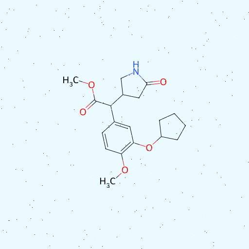 COC(=O)C(c1ccc(OC)c(OC2CCCC2)c1)C1CNC(=O)C1